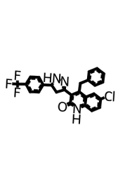 O=c1[nH]c2ccc(Cl)cc2c(Cc2ccccc2)c1C1=NNC(c2ccc(C(F)(F)F)cc2)C1